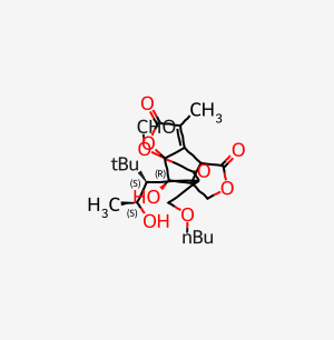 CCCCOCC1([C@@H]([C@H](C)O)C(C)(C)C)C(OC=O)OC23C(=O)OCC21[C@@H](O)C1OC(=O)C(C)=C13